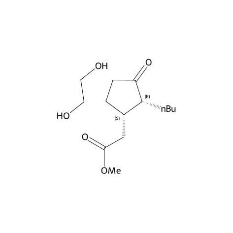 CCCC[C@H]1C(=O)CC[C@H]1CC(=O)OC.OCCO